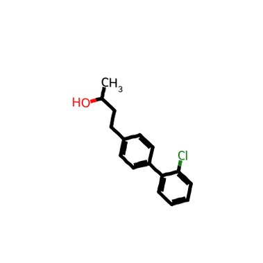 CC(O)CCc1ccc(-c2ccccc2Cl)cc1